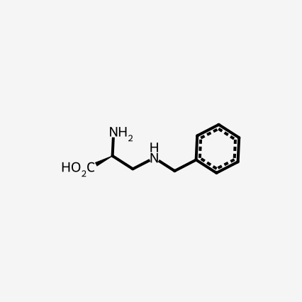 N[C@@H](CNCc1ccccc1)C(=O)O